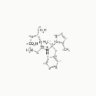 Cc1ccsc1C(C)(Cc1ccccc1)NC(=O)CN.O=C(O)C=CC(=O)O